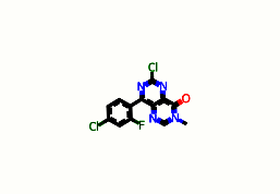 Cn1cnc2c(-c3ccc(Cl)cc3F)nc(Cl)nc2c1=O